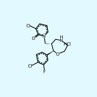 Cl.O=c1c(Cl)cccn1C[C@@H]1CNCCO[C@H]1c1ccc(Cl)c(F)c1